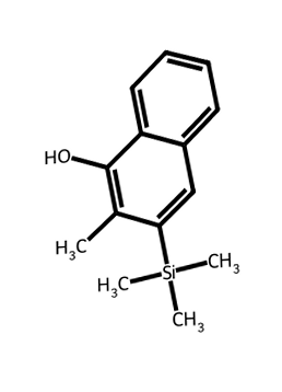 Cc1c([Si](C)(C)C)cc2ccccc2c1O